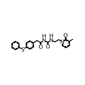 Cc1cccn(CCNC(=O)NC(=O)Cc2ccc(Sc3ccccc3)cc2)c1=O